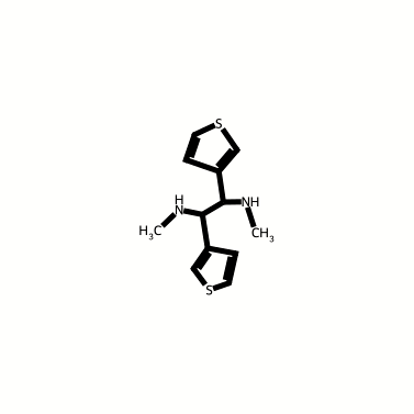 CNC(c1ccsc1)C(NC)c1ccsc1